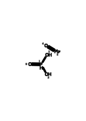 O=[PH](O)O.[O]=[Pb]